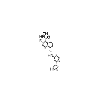 CNC(=O)c1c(F)cnc2c(CCNc3cc(-c4cn[nH]c4)ncn3)cccc12